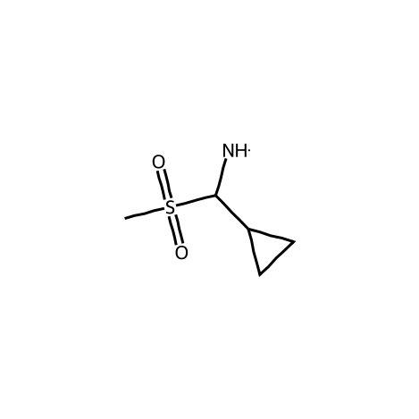 CS(=O)(=O)C([NH])C1CC1